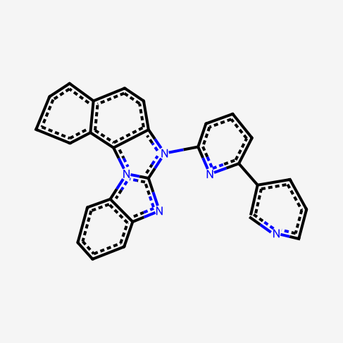 c1cncc(-c2cccc(-n3c4ccc5ccccc5c4n4c5ccccc5nc34)n2)c1